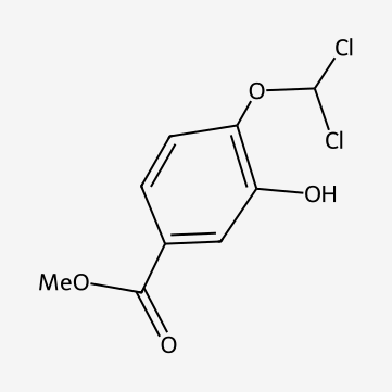 COC(=O)c1ccc(OC(Cl)Cl)c(O)c1